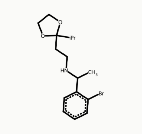 CC(NCCC1(C(C)C)OCCO1)c1ccccc1Br